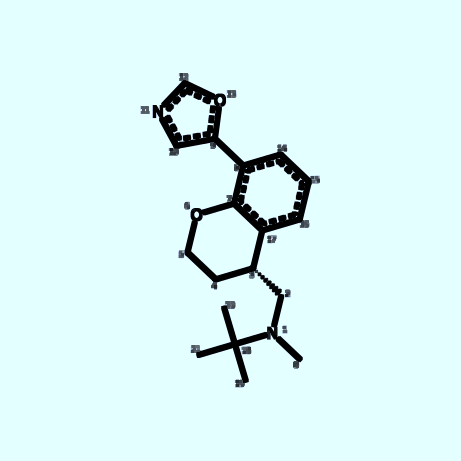 CN(C[C@@H]1CCOc2c(-c3cnco3)cccc21)C(C)(C)C